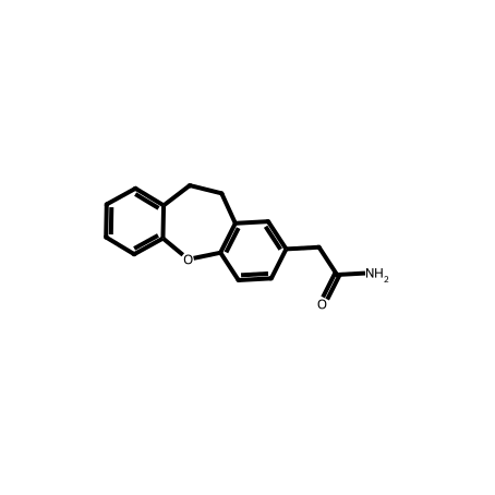 NC(=O)Cc1ccc2c(c1)CCc1ccccc1O2